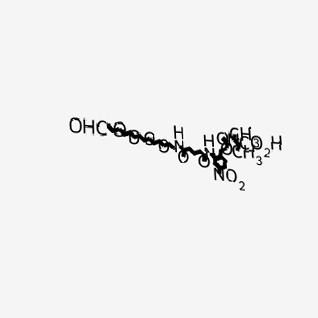 C[C@@H](C(=O)O)N(C)C(=O)OCc1ccc([N+](=O)[O-])cc1NC(=O)CCCC(=O)NCCOCCOCCOCCOCCC=O